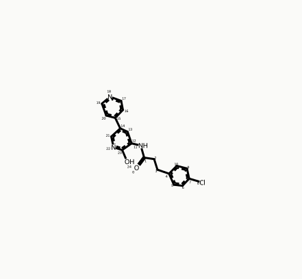 O=C(CCc1ccc(Cl)cc1)Nc1cc(-c2ccncc2)cnc1O